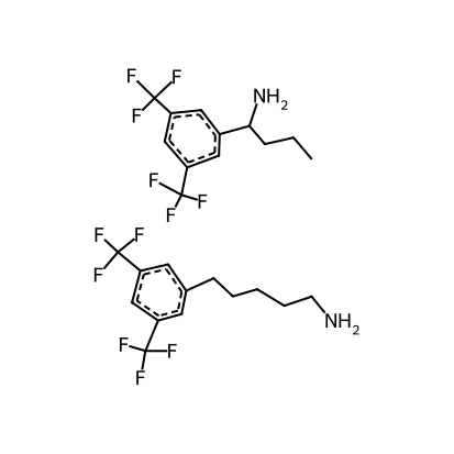 CCCC(N)c1cc(C(F)(F)F)cc(C(F)(F)F)c1.NCCCCCc1cc(C(F)(F)F)cc(C(F)(F)F)c1